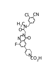 CN(Cc1ccc(C#N)c(Cl)c1)C(=O)Cn1cnc2c(F)cc(C3=CCN(C(=O)O)CC3)cc2c1=O